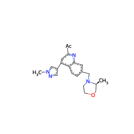 CC(=O)c1cc(-c2cnn(C)c2)c2ccc(CN3CCOC[C@@H]3C)cc2n1